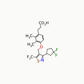 Cc1c(CCC(=O)O)ccc(OCc2c(C3CCC(F)(F)C3)nsc2C(F)(F)F)c1C